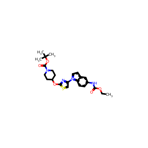 CCOC(=O)Nc1ccc2c(ccn2-c2csc(OC3CCN(C(=O)OC(C)(C)C)CC3)n2)c1